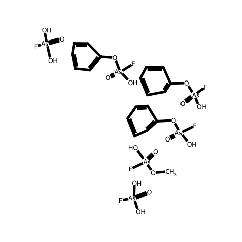 CO[As](=O)(O)F.O=[As](O)(F)Oc1ccccc1.O=[As](O)(F)Oc1ccccc1.O=[As](O)(F)Oc1ccccc1.O=[As](O)(O)F.O=[As](O)(O)F